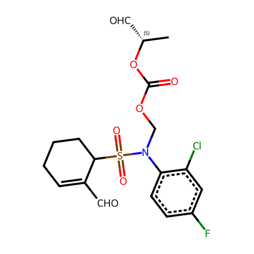 C[C@@H](C=O)OC(=O)OCN(c1ccc(F)cc1Cl)S(=O)(=O)C1CCCC=C1C=O